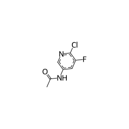 CC(=O)Nc1cnc(Cl)c(F)c1